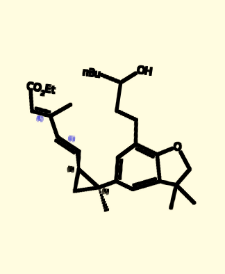 CCCCC(O)CCc1cc([C@@]2(C)C[C@H]2/C=C/C(C)=C/C(=O)OCC)cc2c1OCC2(C)C